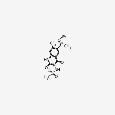 CC(C)O[C@H](C)c1cc2c(=O)n(NS(C)(=O)=O)c(=O)[nH]c2cc1C(F)(F)F